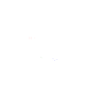 NBr.Oc1ccccc1